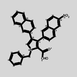 O=CC(=O)c1c(-c2ccc3cc([N+](=O)[O-])ccc3c2)c(-c2ccc3ccccc3c2)cn1Cc1ccccc1